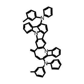 C=c1ccc(N(c2ccccc2)c2cccc(C)c2)c2c3ccccc3n2c2cc3c4ccc(N(c5ccccc5)c5cccc(C)c5)c5c6ccccc6n(c3cc12)c45